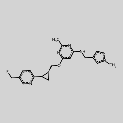 Cc1nc(NCc2cnn(C)c2)cc(OC[C@H]2CC2c2ccc(CF)cn2)n1